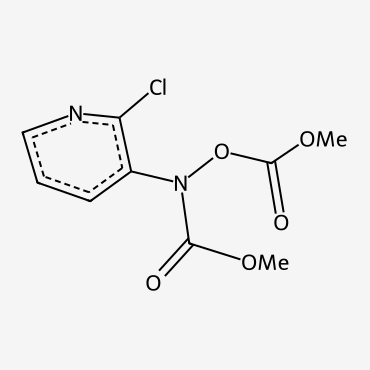 COC(=O)ON(C(=O)OC)c1cccnc1Cl